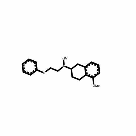 CCCN(CCOc1ccccc1)C1CCc2c(cccc2OC)C1